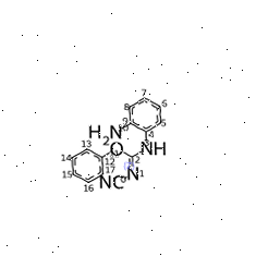 N#C/N=C(/Nc1ccccc1N)Oc1ccccc1